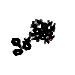 FC(F)(F)c1cc([B-](c2cc(C(F)(F)F)cc(C(F)(F)F)c2)(c2cc(C(F)(F)F)cc(C(F)(F)F)c2)c2cc(C(F)(F)F)cc(C(F)(F)F)c2)cc(C(F)(F)F)c1.FC(F)(F)c1cccc([S+](c2ccccc2)c2ccccc2)c1